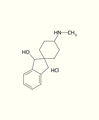 CNC1CCC2(CC1)Cc1ccccc1C2O.Cl